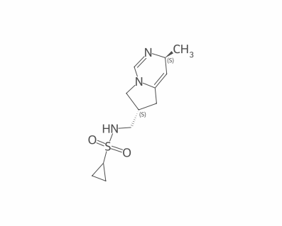 C[C@H]1C=C2C[C@H](CNS(=O)(=O)C3CC3)CN2C=N1